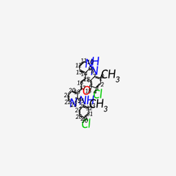 Cc1cc(Cl)ccc1Nc1ncccc1/C=C/C(=O)c1cccnc1Nc1ccc(Cl)cc1C